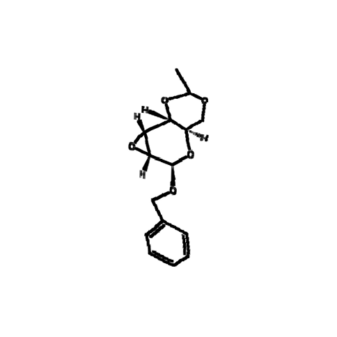 CC1OC[C@H]2O[C@@H](OCc3ccccc3)[C@@H]3O[C@@H]3[C@@H]2O1